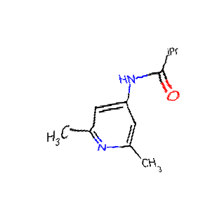 Cc1cc(NC(=O)C(C)C)cc(C)n1